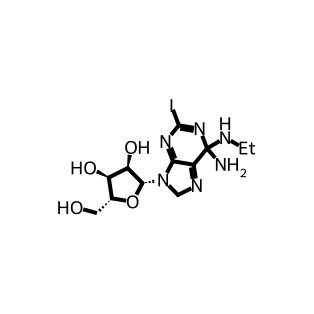 CCNC1(N)N=C(I)N=C2C1=NCN2[C@@H]1O[C@H](CO)[C@@H](O)[C@H]1O